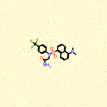 CN(C)c1cccc2c(S(=O)(=O)N(CC(N)=O)c3ccc(C(F)(F)F)cc3)cccc12